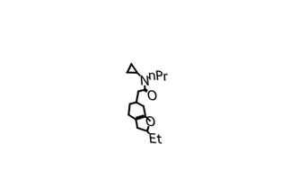 CCCN(C(=O)CC1CCC2=C(C1)OC(CC)C2)C1CC1